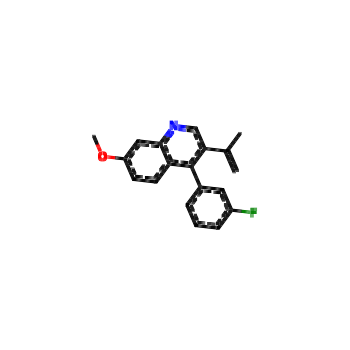 C=C(C)c1cnc2cc(OC)ccc2c1-c1cccc(F)c1